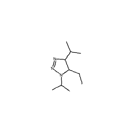 CCC1C(C(C)C)N=NN1C(C)C